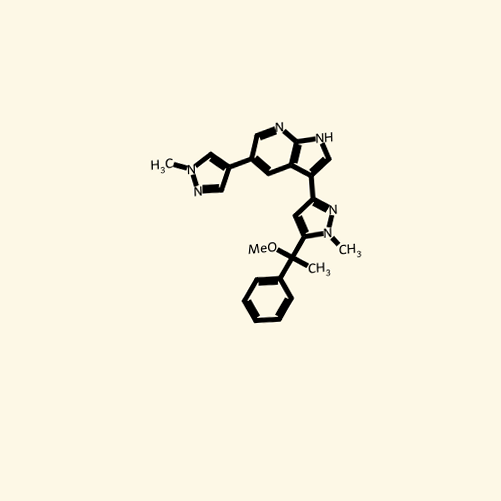 COC(C)(c1ccccc1)c1cc(-c2c[nH]c3ncc(-c4cnn(C)c4)cc23)nn1C